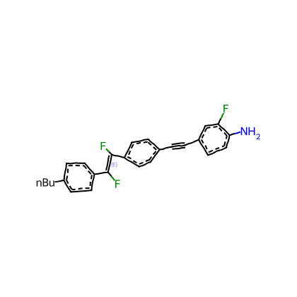 CCCCc1ccc(/C(F)=C(\F)c2ccc(C#Cc3ccc(N)c(F)c3)cc2)cc1